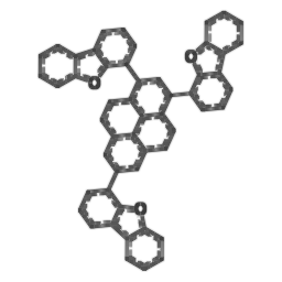 c1ccc2c(c1)oc1c(-c3cc4ccc5c(-c6cccc7c6oc6ccccc67)cc(-c6cccc7c6oc6ccccc67)c6ccc(c3)c4c56)cccc12